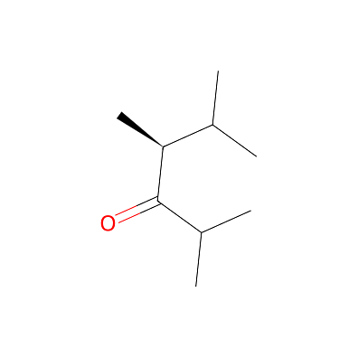 CC(C)C(=O)[C@@H](C)C(C)C